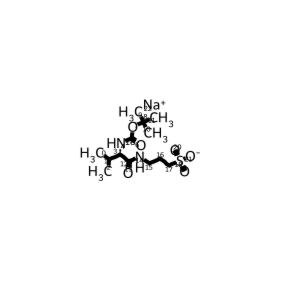 CC(C)[C@H](NC(=[18O])OC(C)(C)C)C(=O)NCCCS(=O)(=O)[O-].[Na+]